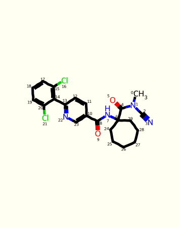 CN(C#N)C(=O)C1(NC(=O)c2ccc(-c3c(Cl)cccc3Cl)nc2)CCCCCC1